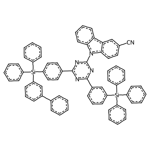 N#Cc1ccc2c(c1)c1ccccc1n2-c1nc(-c2ccc([Si](c3ccccc3)(c3ccccc3)c3cccc(-c4ccccc4)c3)cc2)nc(-c2cccc([Si](c3ccccc3)(c3ccccc3)c3ccccc3)c2)n1